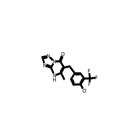 Cc1[nH]c2ncnn2c(=O)c1Cc1ccc(Cl)c(C(F)(F)F)c1